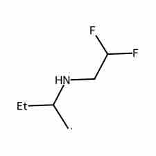 [CH2]C(CC)NCC(F)F